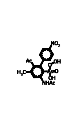 CC(=O)Nc1cc(C)c(C(C)=O)c(-c2ccc([N+](=O)[O-])cc2)c1[As](=O)(O)OO